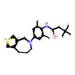 Cc1cc(N2CCCc3cscc3C2)cc(C)c1NC(O)CC(C)(C)C